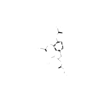 CCCCC(=O)Oc1ccc(C[C@](NC(C)C)(OC(=O)OC(C)(C)C)C(=O)O)cc1OC(=O)CCCC